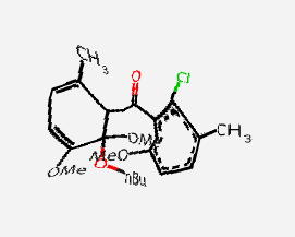 CCCCOC1(OC)C(OC)=CC=C(C)C1C(=O)c1c(OC)ccc(C)c1Cl